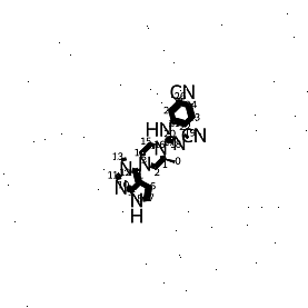 C[C@H]1CN(C2=c3cc[nH]c3=NCN2C)CCN1C(=NC#N)Nc1cccc(C#N)c1